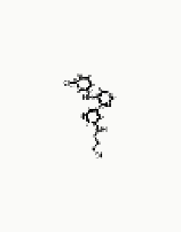 OCCCNc1cncc(-c2ncncc2Nc2cccc(Cl)c2)c1